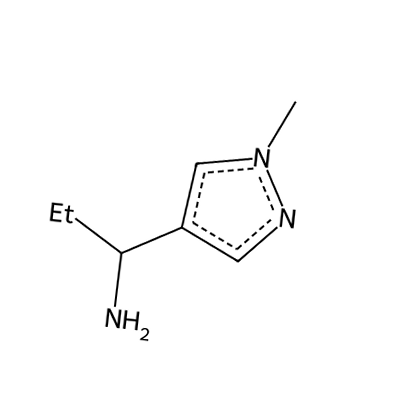 CCC(N)c1cnn(C)c1